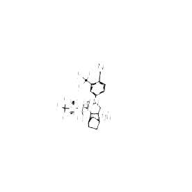 N#Cc1ccc(N2C[C@H]3[C@H]4CC[C@H](C4)[C@@]3(COS(=O)(=O)C(F)(F)F)S2(=O)=O)cc1C(F)(F)F